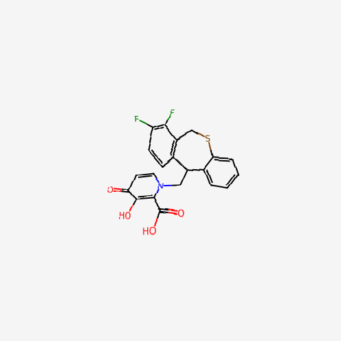 O=C(O)c1c(O)c(=O)ccn1CC1c2ccccc2SCc2c1ccc(F)c2F